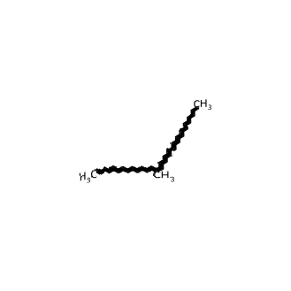 CCCCCCCC=CCCCCCCCCCCCC(C)CCCCCCCCCCCCCC